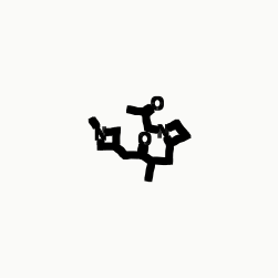 CC(=O)CN1CCC1CC(C)C(=O)CC1CN(C)C1